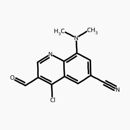 CN(C)c1cc(C#N)cc2c(Cl)c(C=O)cnc12